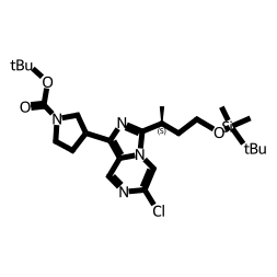 C[C@@H](CCO[Si](C)(C)C(C)(C)C)c1nc(C2CCN(C(=O)OC(C)(C)C)C2)c2cnc(Cl)cn12